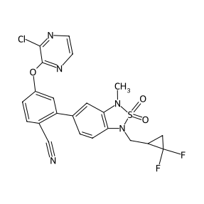 CN1c2cc(-c3cc(Oc4nccnc4Cl)ccc3C#N)ccc2N(CC2CC2(F)F)S1(=O)=O